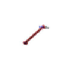 CC(C)(C)OC(=O)NCCOCCOCCOCCOCCOCCOCCOCCOCCOCCOCCC(=O)ON1C(=O)CCC1=O